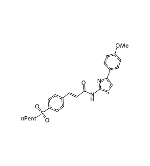 CCCCCS(=O)(=O)c1ccc(C=CC(=O)Nc2nc(-c3ccc(OC)cc3)cs2)cc1